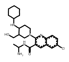 CC(N)NC(=O)c1cc2cc(Cl)ccc2nc1N1CCC(NC2CCCCC2)C(CO)C1